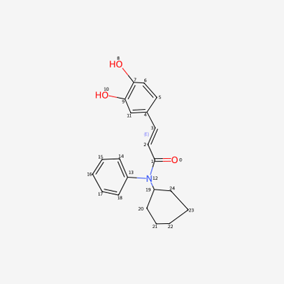 O=C(/C=C/c1ccc(O)c(O)c1)N(c1ccccc1)C1CCCCC1